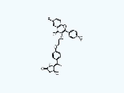 COc1ccc(-c2oc3ccc(F)cc3c(=O)c2OCCOc2ccc(/C(C)=C3\SC(=O)CC3=O)cc2)cc1